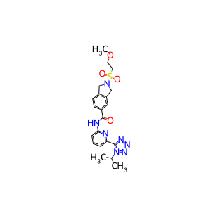 COCCS(=O)(=O)N1Cc2ccc(C(=O)Nc3cccc(-c4nnnn4C(C)C)n3)cc2C1